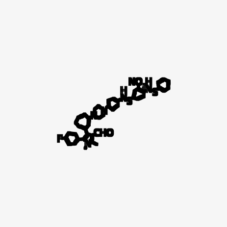 Cc1c(C=O)c(C2=CCC=CC(N3CCN(c4ccc(NSc5ccc(NSc6ccccc6)c([N+](=O)[O-])c5)cc4)CC3)=C2)c(-c2ccc(F)cc2)n1C